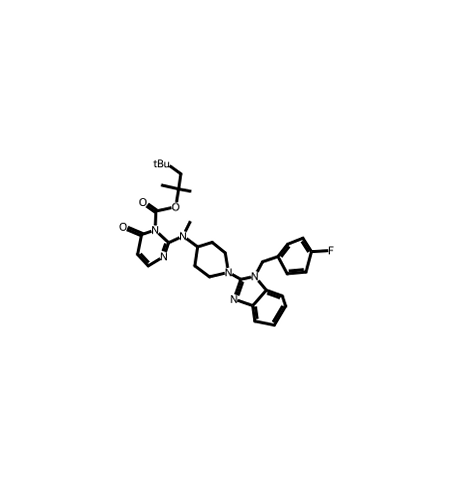 CN(c1nccc(=O)n1C(=O)OC(C)(C)CC(C)(C)C)C1CCN(c2nc3ccccc3n2Cc2ccc(F)cc2)CC1